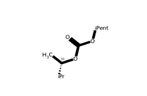 CCCC(C)OC(=O)O[C@@H](C)C(C)C